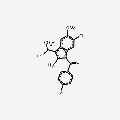 CCCC(C(=O)O)c1c(C)n(C(=O)c2ccc(Br)cc2)c2cc(Cl)c(OC)cc12